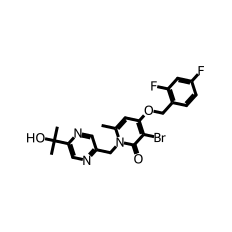 Cc1cc(OCc2ccc(F)cc2F)c(Br)c(=O)n1Cc1cnc(C(C)(C)O)cn1